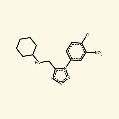 O=[N+]([O-])c1cc(-n2nnnc2CNC2CCCCC2)ccc1Cl